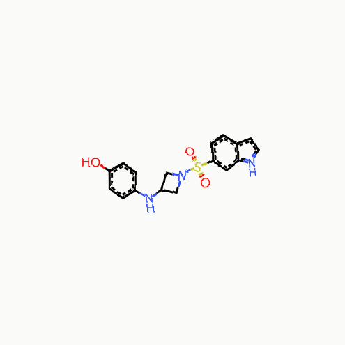 O=S(=O)(c1ccc2cc[nH]c2c1)N1CC(Nc2ccc(O)cc2)C1